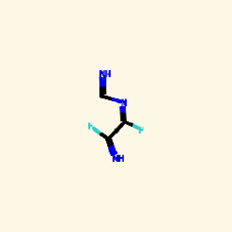 N=C/N=C(/F)C(=N)F